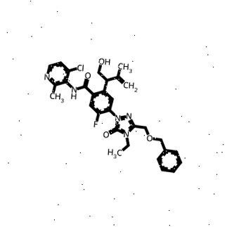 C=C(C)C(CO)c1cc(-n2nc(COCc3ccccc3)n(CC)c2=O)c(F)cc1C(=O)Nc1c(Cl)ccnc1C